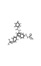 COC(=O)CCc1ccc2c(c1)c(CCc1ccccc1)cn2-c1ccc(OC(C)C)cc1